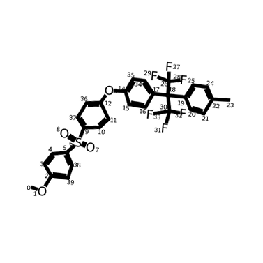 COc1ccc(S(=O)(=O)c2ccc(Oc3ccc(C(c4ccc(C)cc4)(C(F)(F)F)C(F)(F)F)cc3)cc2)cc1